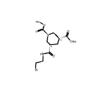 COC(=O)[C@@H]1C[C@H](C(=O)NCCC(C)C)CN(C(=O)OC(C)(C)C)C1